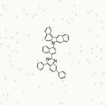 c1ccc(-c2ccc3c(-c4ccccc4)nc(-c4ccc(-n5c6cc7ccccc7cc6c6c7ccccc7ccc65)c5ccccc45)nc3c2)cc1